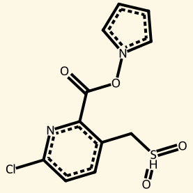 O=C(On1cccc1)c1nc(Cl)ccc1C[SH](=O)=O